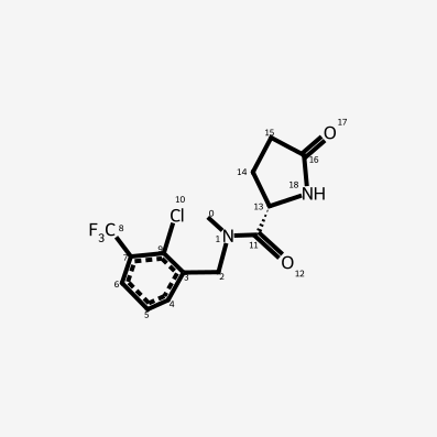 CN(Cc1cccc(C(F)(F)F)c1Cl)C(=O)[C@@H]1CCC(=O)N1